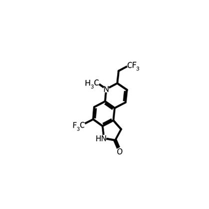 CN1c2cc(C(F)(F)F)c3c(c2C=CC1CC(F)(F)F)CC(=O)N3